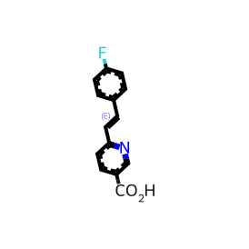 O=C(O)c1ccc(/C=C/c2ccc(F)cc2)nc1